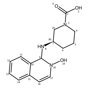 O=C(O)N1CCC[C@@H](NC2c3ccccc3C=CN2O)C1